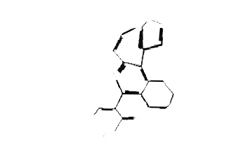 N=C(/C(=C\N)c1nc2ccc3[nH]ncc3c2c2c1CCCC2)C(F)(F)F